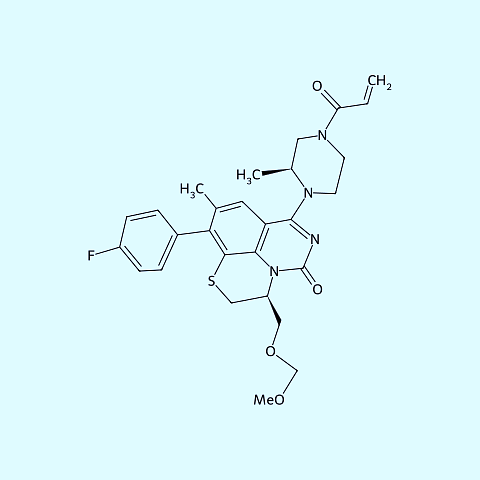 C=CC(=O)N1CCN(c2nc(=O)n3c4c(c(-c5ccc(F)cc5)c(C)cc24)SC[C@@H]3COCOC)[C@@H](C)C1